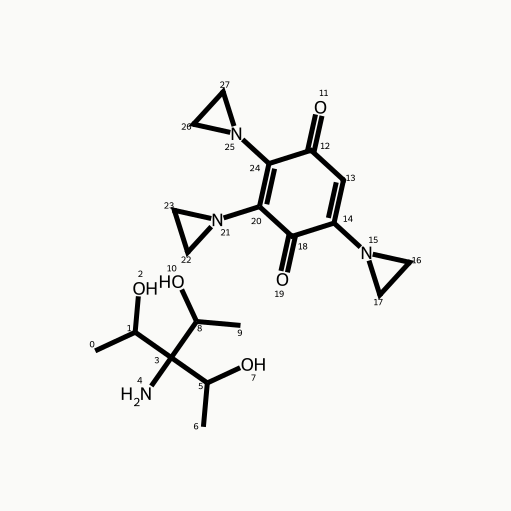 CC(O)C(N)(C(C)O)C(C)O.O=C1C=C(N2CC2)C(=O)C(N2CC2)=C1N1CC1